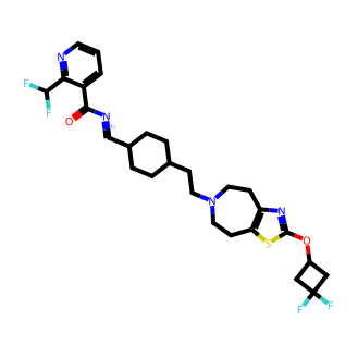 O=C(/N=C/C1CCC(CCN2CCc3nc(OC4CC(F)(F)C4)sc3CC2)CC1)c1cccnc1C(F)F